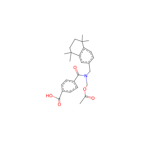 CC(=O)OCN(Cc1ccc2c(c1)C(C)(C)CCC2(C)C)C(=O)c1ccc(C(=O)O)cc1